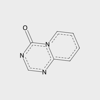 O=c1ncnc2ccccn12